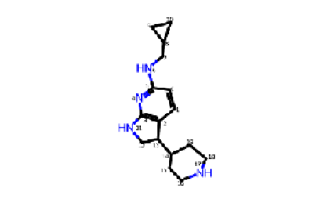 c1cc2c(nc1NCC1CC1)NCC2C1CCNCC1